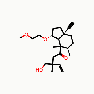 C#C[C@@]12CC[C@@H](C)C(C)(C(=O)C[C@](C)(C=C)CO)C1[C@H](OCCOC)CC2